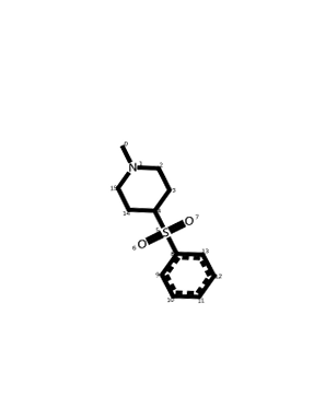 CN1CCC(S(=O)(=O)c2ccccc2)CC1